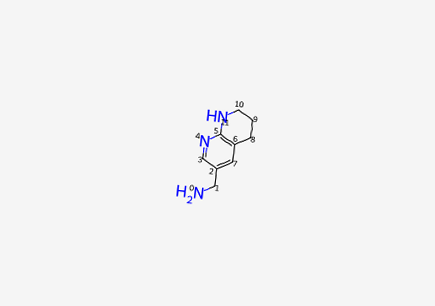 NCc1cnc2c(c1)CCCN2